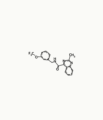 Cc1nc(C(=O)NCc2cccc(OC(F)(F)F)c2)c2ccccc2n1